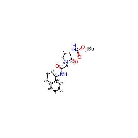 CC(C)(C)OC(=O)N[C@H]1CCN(CC(=O)NC2CCCc3ccccc32)C1=O